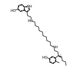 CCC/C=C(/CCNCCCCCCCCCCNCCc1c[nH]c2ccc(O)cc12)c1cc(O)ccc1C